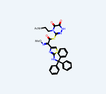 CO/N=C(\C(=O)Sc1n[nH]c(=O)c(=O)n1CCNC(C)=O)c1csc(NC(c2ccccc2)(c2ccccc2)c2ccccc2)n1